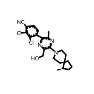 Cc1nc(N2CCC3(CCC[C@H]3C)CC2)c(CO)nc1-c1ccc(C#N)c(Cl)c1Cl